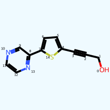 OCC#Cc1ccc(-c2cnccn2)s1